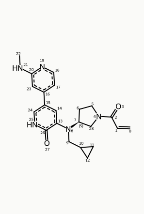 C=CC(=O)N1CC[C@H](N(CC2CC2)c2cc(-c3ccnc(NC)c3)c[nH]c2=O)C1